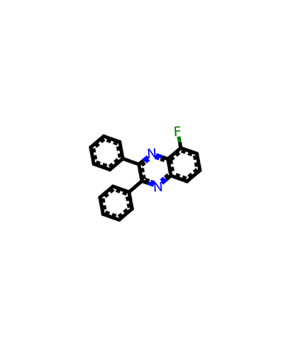 Fc1cccc2nc(-c3ccccc3)c(-c3ccccc3)nc12